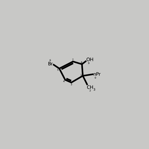 CCCC1(C)C=CC(Br)=CC1O